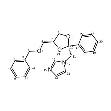 c1ccc(COC[C@H]2CO[C@@](Cn3ccnc3)(c3ccccc3)O2)cc1